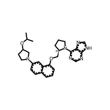 CC(C)OC1CCN(c2ccc3cccc(OC[C@H]4CCCN4c4ncnc5[nH]cnc45)c3c2)C1